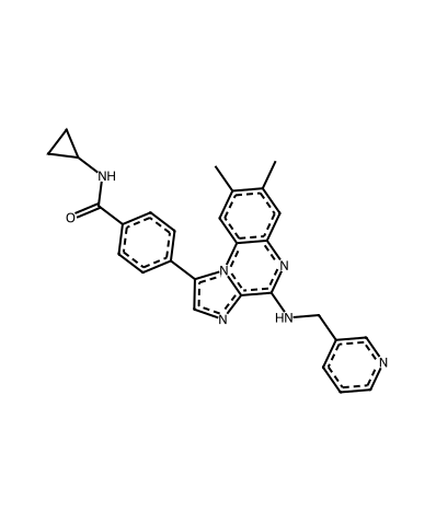 Cc1cc2nc(NCc3cccnc3)c3ncc(-c4ccc(C(=O)NC5CC5)cc4)n3c2cc1C